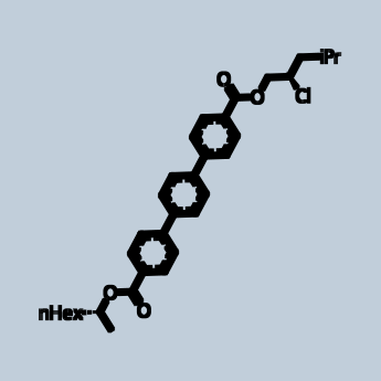 CCCCCC[C@@H](C)OC(=O)c1ccc(-c2ccc(-c3ccc(C(=O)OC[C@H](Cl)CC(C)C)cc3)cc2)cc1